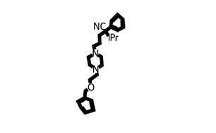 CC(C)C(C#N)(CCCN1CCN(CCOCc2ccccc2)CC1)c1ccccc1